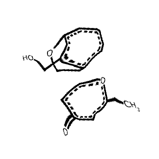 Cc1cc(=O)cco1.OCc1c2cccc1OC2